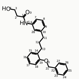 O=C(CCO)Nc1cccc(CCCc2ccccc2OCc2ccccc2)c1